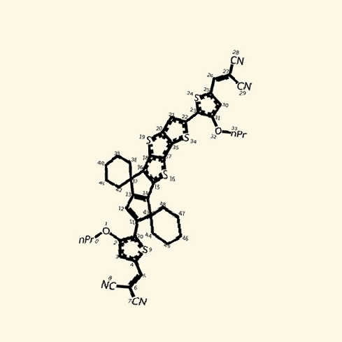 CCCOc1cc(C=C(C#N)C#N)sc1C1=CC2=C(c3sc4c(sc5cc(-c6sc(C=C(C#N)C#N)cc6OCCC)sc54)c3C23CCCCC3)C12CCCCC2